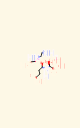 NCCNCCO.O=C(O)CCC(NC(C(=O)O)C(=O)O)C(=O)O